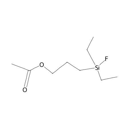 CC[Si](F)(CC)CCCOC(C)=O